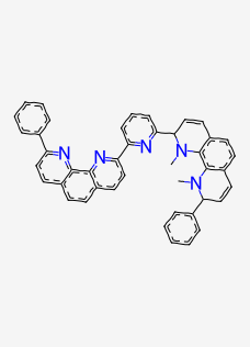 CN1c2c(ccc3c2N(C)C(c2cccc(-c4ccc5ccc6ccc(-c7ccccc7)nc6c5n4)n2)C=C3)C=CC1c1ccccc1